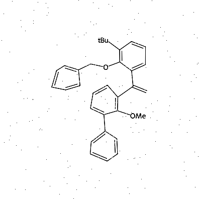 C=C(c1cccc(-c2ccccc2)c1OC)c1cccc(C(C)(C)C)c1OCc1ccccc1